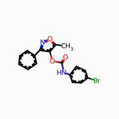 Cc1onc(-c2ccccc2)c1OC(=O)Nc1ccc(Br)cc1